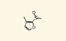 Cc1ccoc1[S+](C)[O-]